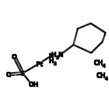 C.C.NC1CCCCC1.[NH2][Pt][S](=O)(=O)O